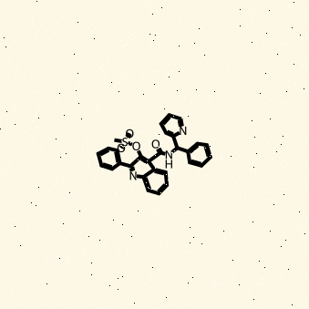 CS(=O)(=O)Oc1c(-c2ccccc2)nc2ccccc2c1C(=O)NC(c1ccccc1)c1ccccn1